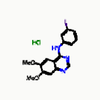 COc1cc2ncnc(Nc3cccc(I)c3)c2cc1OC.Cl